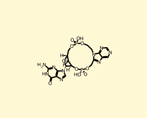 Nc1nc2c(ncn2[C@@H]2O[C@@H]3COP(=O)(O)OCCn4c(nc5cncnc54)COP(=O)(O)O[C@@H]2[C@@H]3F)c(=O)[nH]1